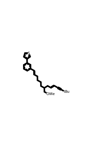 COCC(CC=CC#CC(C)(C)C)CCCCC=Cc1cccc(-c2ccsc2)c1